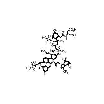 Cc1cc(CC(=O)N[C@H](CC(=O)O)C(=O)O)c(C(C)(C)CC(=O)N(c2nn(CC(F)(F)F)c3c(-c4ccc(C#CC(C)(C)S(C)(=O)=O)nc4[C@H](Cc4cc(F)cc(F)c4)NC(=O)Cn4nc(C(F)(F)F)c5c4C(F)(F)C4C[C@H]54)ccc(Cl)c23)S(C)(=O)=O)c(OP(=O)(O)O)c1